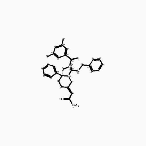 COC(=O)/C=C1\CC[C@@](COC(C)c2cc(C)cc(C)c2)(c2ccccc2)N(C(=O)OCc2ccccc2)C1